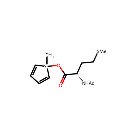 CSCC[C@H](NC(C)=O)C(=O)O[Si]1(C)C=CC=C1